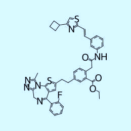 CCOC(=O)c1cc(CCc2cc3c(s2)-n2c(C)nnc2CN=C3c2ccccc2F)ccc1CC(=O)Nc1cccc(/C=C/c2nc(C3CCC3)cs2)c1